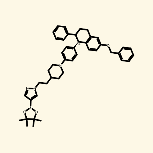 CC1(C)OB(c2cnn(CCC3CCN(c4ccc([C@@H]5c6ccc(OCc7ccccc7)cc6CCC5c5ccccc5)cc4)CC3)c2)OC1(C)C